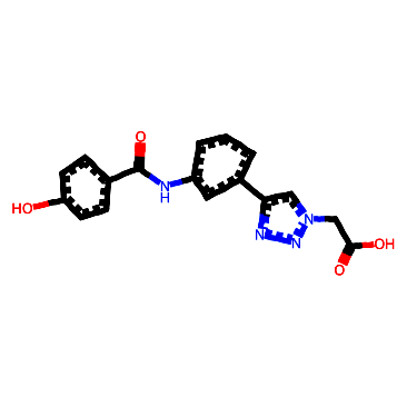 O=C(O)Cn1cc(-c2cccc(NC(=O)c3ccc(O)cc3)c2)nn1